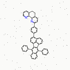 c1ccc(-c2c3c(c(-c4ccccc4)c4ccccc24)-c2ccc(-c4ccc(-c5ccc6c(n5)-c5ncccc5CC6)cc4)c4cccc-3c24)cc1